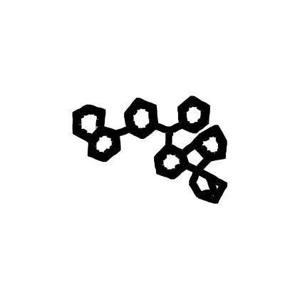 c1ccc(N(c2cccc(-c3cccc4ccccc34)c2)c2cccc3c2-c2ccccc2C32CC3CCC2C3)cc1